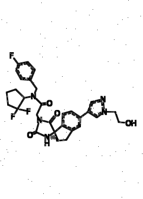 O=C1N[C@]2(CCc3cc(-c4cnn(CCO)c4)ccc32)C(=O)N1CC(=O)N(Cc1ccc(F)cc1)C1CCCC1(F)F